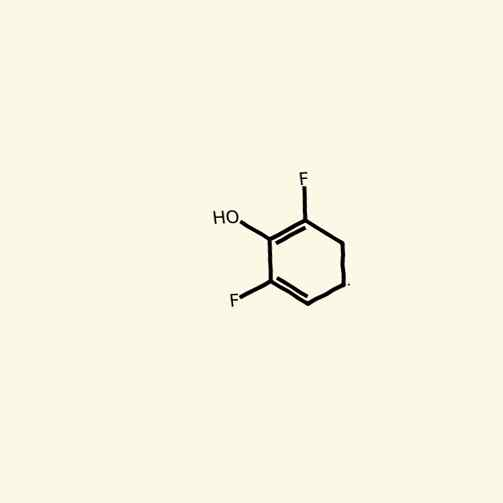 OC1=C(F)C[CH]C=C1F